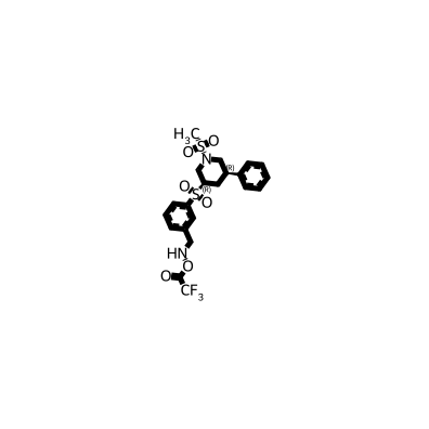 CS(=O)(=O)N1C[C@@H](c2ccccc2)C[C@@H](S(=O)(=O)c2cccc(CNOC(=O)C(F)(F)F)c2)C1